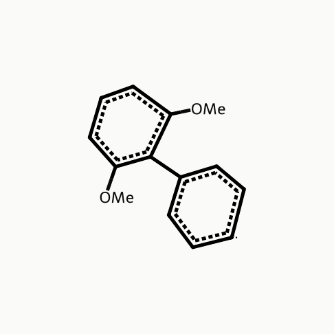 COc1cccc(OC)c1-c1cc[c]cc1